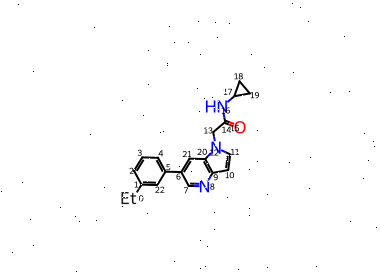 CCc1cccc(-c2cnc3ccn(CC(=O)NC4CC4)c3c2)c1